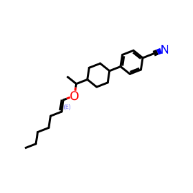 CCCCC/C=C/OC(C)C1CCC(c2ccc(C#N)cc2)CC1